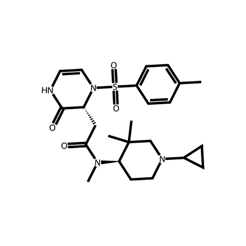 Cc1ccc(S(=O)(=O)N2C=CNC(=O)[C@H]2CC(=O)N(C)[C@@H]2CCN(C3CC3)CC2(C)C)cc1